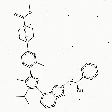 COC(=O)C12CCC(c3ccc(-n4nc(-c5cccc6nn(C[C@H](O)c7ccccc7)cc56)c(C(C)C)c4C)c(C)n3)(CC1)CC2